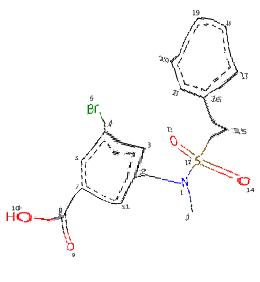 CN(c1cc(Br)cc(C(=O)O)c1)S(=O)(=O)Cc1ccccc1